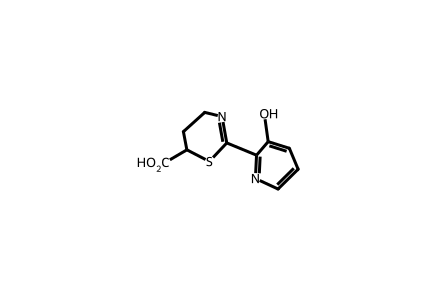 O=C(O)C1CCN=C(c2ncccc2O)S1